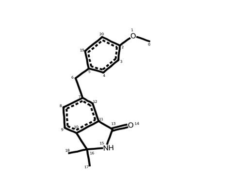 COc1ccc(Cc2ccc3c(c2)C(=O)NC3(C)C)cc1